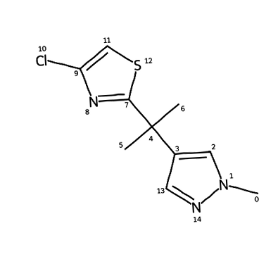 Cn1cc(C(C)(C)c2nc(Cl)cs2)cn1